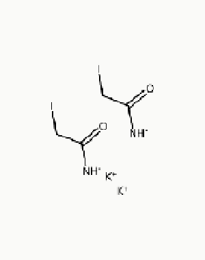 [K+].[K+].[NH-]C(=O)CI.[NH-]C(=O)CI